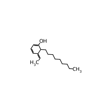 CC=C1C=CC=C(O)C1CCCCCCCCC